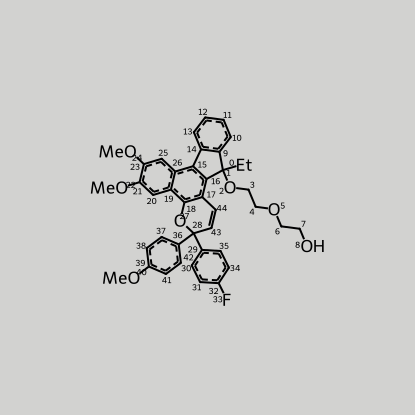 CCC1(OCCOCCO)c2ccccc2-c2c1c1c(c3cc(OC)c(OC)cc23)OC(c2ccc(F)cc2)(c2ccc(OC)cc2)C=C1